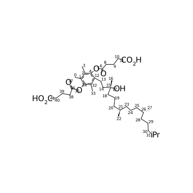 Cc1c(C)c(OC(=O)CCCC(=O)O)c(CC[C@](C)(O)CCC[C@H](C)CCC[C@H](C)CCCC(C)C)c(C)c1OC(=O)CCCC(=O)O